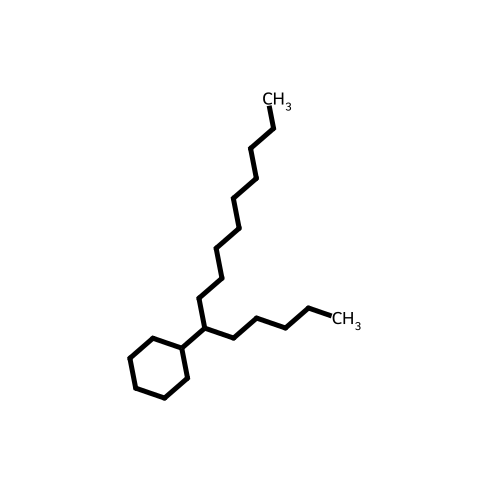 CCCCCCCCCC(CCCCC)C1CCCCC1